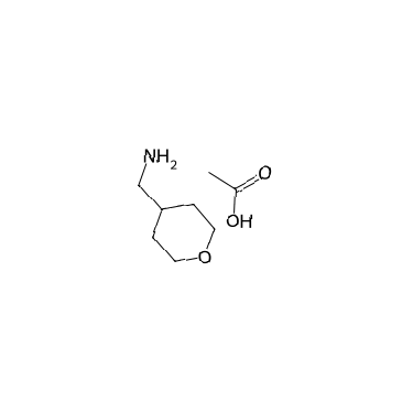 CC(=O)O.NCC1CCOCC1